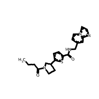 CCCC(=O)N1CCC(c2ccc(C(=O)NCc3ccn4ccnc4c3)s2)C1